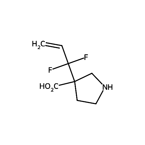 C=CC(F)(F)C1(C(=O)O)CCNC1